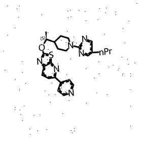 CCCc1cnc(N2CCC([C@H](C)Oc3nc4ccc(-c5ccncc5)nc4s3)CC2)nc1